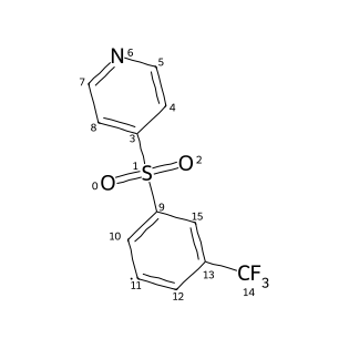 O=S(=O)(c1ccncc1)c1c[c]cc(C(F)(F)F)c1